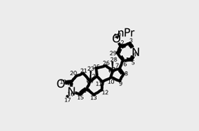 CCCOc1cncc(C2=CCC3C4CCC5=CN(C)C(=O)CC[C@]5(C)C4CC[C@]23C)c1